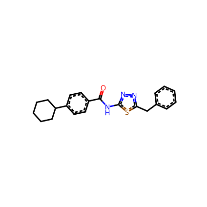 O=C(Nc1nnc(Cc2ccccc2)s1)c1ccc(C2CC[CH]CC2)cc1